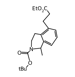 CCOC(=O)CCc1cccc2c1CCN(C(=O)OC(C)(C)C)C2C